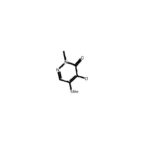 CSc1cnn(C)c(=O)c1Cl